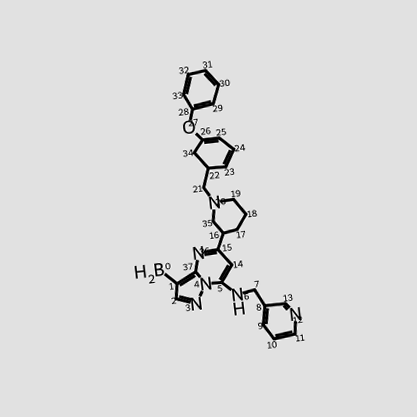 Bc1cnn2c(NCc3cccnc3)cc(C3CCCN(CC4C=CC=C(Oc5ccccc5)C4)C3)nc12